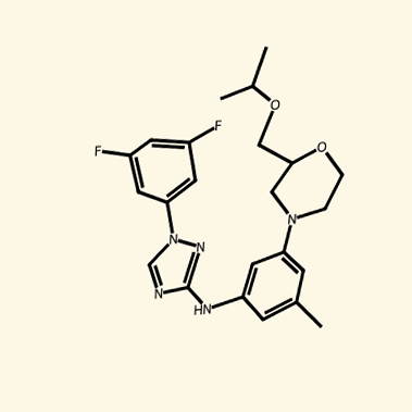 Cc1cc(Nc2ncn(-c3cc(F)cc(F)c3)n2)cc(N2CCOC(COC(C)C)C2)c1